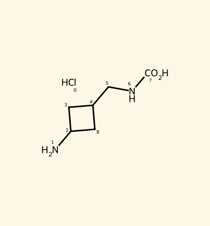 Cl.NC1CC(CNC(=O)O)C1